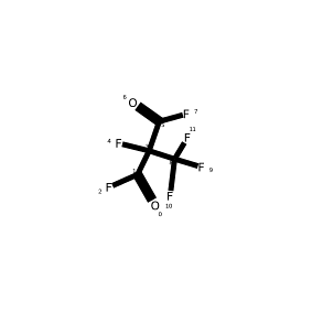 O=C(F)C(F)(C(=O)F)C(F)(F)F